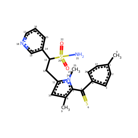 Cc1ccc(C(=S)c2c(C)cc(CC(c3cccnc3)S(N)(=O)=O)n2C)cc1